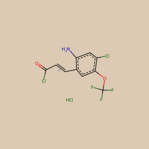 Cl.Nc1cc(Cl)c(OC(F)(F)F)cc1/C=C/C(=O)Cl